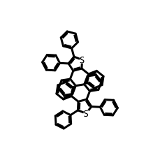 c1ccc(-c2sc(-c3ccccc3)c(-c3ccccc3-c3ccccc3-c3c(-c4ccccc4)sc(-c4ccccc4)c3-c3ccccc3)c2-c2ccccc2)cc1